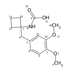 COc1ccc(CC2(NC(=O)O)CCC2)cc1OC